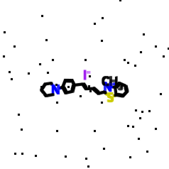 C[n+]1c(C=CC=Cc2ccc(N3CCCCC3)cc2)sc2ccccc21.[I-]